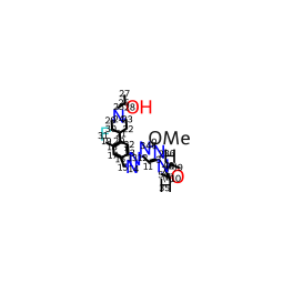 COc1nc(N2C[C@H]3C[C@@H]2CO3)cc(-n2ncc3cc(C)c(C4CCN(CC(C)O)CC4F)cc32)n1